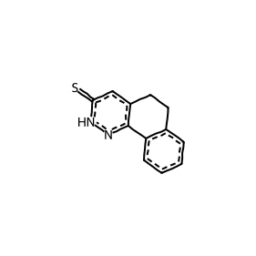 S=c1cc2c(n[nH]1)-c1ccccc1CC2